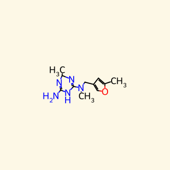 Cc1cc(CN(C)C2=NC(C)N=C(N)N2)co1